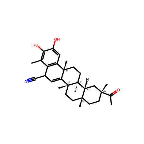 CC(=O)[C@]1(C)CC[C@]2(C)CC[C@]3(C)C4=CC(C#N)c5c(cc(O)c(O)c5C)[C@]4(C)CC[C@@]3(C)[C@@H]2C1